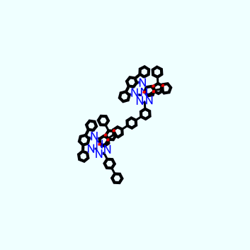 c1ccc(-c2ccc(-c3nc(-c4cccc(-c5ccccc5)c4)nc(-n4c5ccccc5c5ccc6c7ccccc7n(-c7cccc(-c8ccc(-c9ccc(-c%10cccc(-c%11nc(-c%12cccc(-c%13ccccc%13)c%12)nc(-n%12c%13ccccc%13c%13ccc%14c%15ccccc%15n(-c%15cccc(-c%16ccccc%16)c%15)c%14c%13%12)n%11)c%10)cc9)cc8)c7)c6c54)n3)cc2)cc1